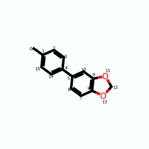 [CH2]c1ccc(-c2ccc3c(c2)OCO3)cc1